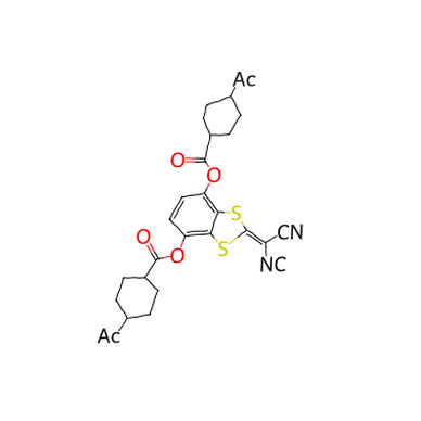 [C-]#[N+]C(C#N)=C1Sc2c(OC(=O)C3CCC(C(C)=O)CC3)ccc(OC(=O)C3CCC(C(C)=O)CC3)c2S1